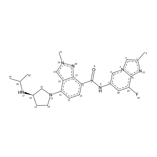 Cc1cn2cc(NC(=O)c3ccc(N4CC[C@@H](NC(C)C)C4)c4cn(C)nc34)cc(F)c2n1